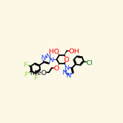 COCCO[C@@H]1[C@@H](n2cc(-c3cc(F)c(F)c(F)c3)nn2)[C@@H](O)[C@@H](CO)O[C@H]1n1nncc1-c1cccc(Cl)c1